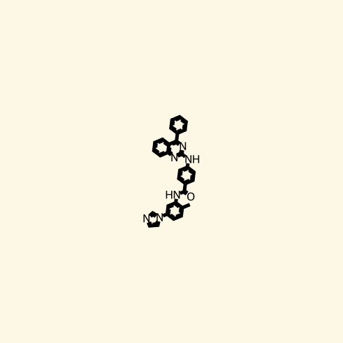 Cc1ccc(-n2ccnc2)cc1NC(=O)c1ccc(Nc2nc(-c3ccccc3)c3ccccc3n2)cc1